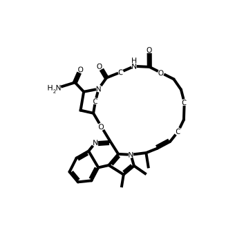 Cc1c(C)n2c3c(nc4ccccc4c13)OC1CC(C(N)=O)N(C1)C(=O)CNC(=O)OCCCCCC=CC2C